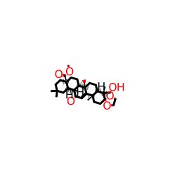 COC(=O)[C@]12CCC(C)(C)C[C@H]1[C@H]1C(=O)C=C3[C@@]4(C)CCC5(OCCO5)[C@@](C)(CO)[C@@H]4CC[C@@]3(C)[C@]1(C)CC2